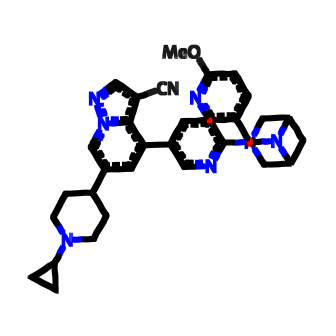 COc1ccc(CN2C3CC2CN(c2ccc(-c4cc(C5CCN(C6CC6)CC5)cn5ncc(C#N)c45)cn2)C3)cn1